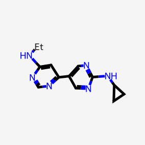 CCNc1cc(-c2cnc(NC3CC3)nc2)ncn1